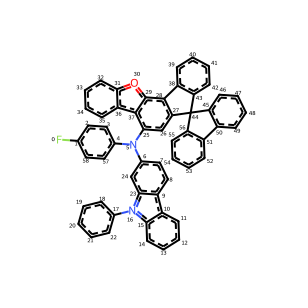 Fc1ccc(N(c2ccc3c4ccccc4n(-c4ccccc4)c3c2)c2cc3c(c4oc5ccccc5c24)-c2ccccc2C32c3ccccc3-c3ccccc32)cc1